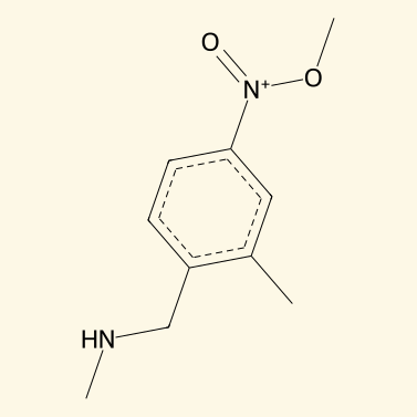 CNCc1ccc([N+](=O)OC)cc1C